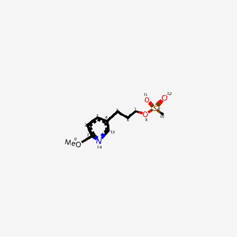 COc1ccc(CCCOS(C)(=O)=O)cn1